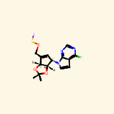 CC1(C)O[C@@H]2[C@H](O1)C(COSI)=C[C@H]2n1ccc2c(Cl)ncnc21